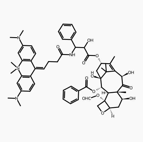 CC1=C2[C@@H](O)C(=O)[C@@]3(C)[C@H]([C@H](OC(=O)c4ccccc4)[C@](O)(C[C@@H]1OC(=O)C(O)C(NC(=O)CCC=C1c4ccc(N(C)C)cc4[Si](C)(C)c4cc(N(C)C)ccc41)c1ccccc1)C2(C)C)[C@]1(OC=O)CO[C@@H]1C[C@@H]3O